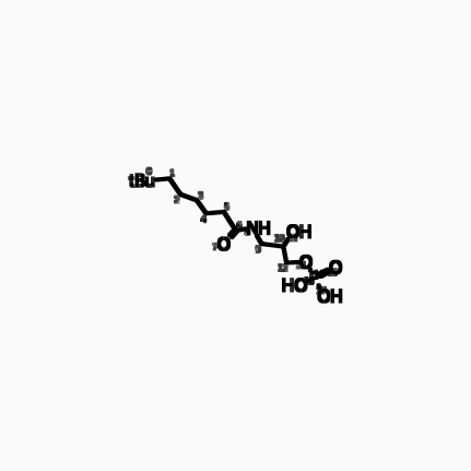 CC(C)(C)CCCCCC(=O)NCC(O)COP(=O)(O)O